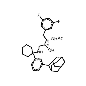 CC(=O)N[C@@H](Cc1cc(F)cc(F)c1)[C@@H](O)CNC1(c2cccc(C3C4CC5CC(C4)CC3C5)c2)CCCCC1